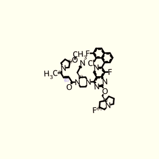 CO[C@H]1CCN([C@H](C)/C=C/C(=O)N2CCN(c3nc(OC[C@@]45CCCN4C[C@H](F)C5)nc4c(F)c(-c5cccc6ccc(F)c(Cl)c56)ncc34)C[C@@H]2CC#N)C1